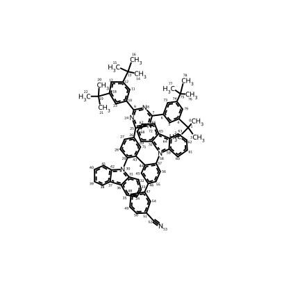 CC(C)(C)c1cc(-c2nc(-c3cc(C(C)(C)C)cc(C(C)(C)C)c3)nc(-c3ccc(-n4c5ccccc5c5ccccc54)c(-c4cc(-c5cccc(C#N)c5)ccc4-n4c5ccccc5c5ccccc54)c3)n2)cc(C(C)(C)C)c1